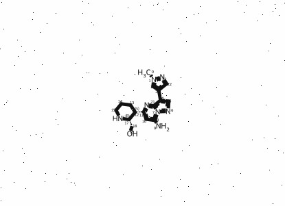 Cn1cc(-c2cnn3c(N)cc([C@H]4CCCN[C@H]4CO)nc23)cn1